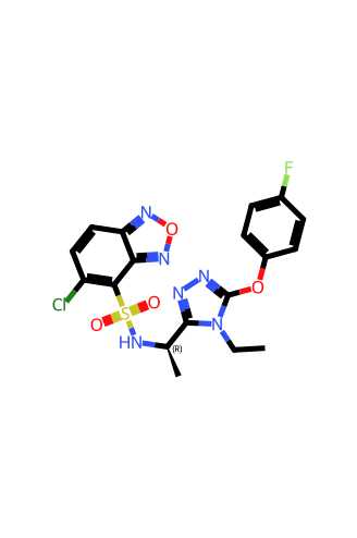 CCn1c(Oc2ccc(F)cc2)nnc1[C@@H](C)NS(=O)(=O)c1c(Cl)ccc2nonc12